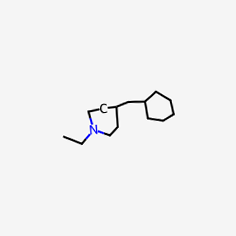 CCN1CCC(CC2CCCCC2)CC1